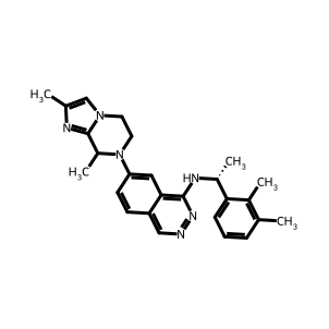 Cc1cn2c(n1)C(C)N(c1ccc3cnnc(N[C@H](C)c4cccc(C)c4C)c3c1)CC2